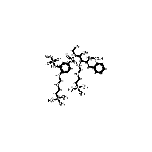 CNS(=O)(=O)Nc1cc(S(=O)(=O)N(CC(C)C)C([C@H](OCOCC[Si](C)(C)C)[C@H](Cc2ccccc2)NC(=O)O)C(C)(C)C)ccc1OCOCC[Si](C)(C)C